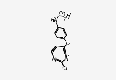 O=C(O)Nc1ccc(Oc2ccnc(Cl)n2)cc1